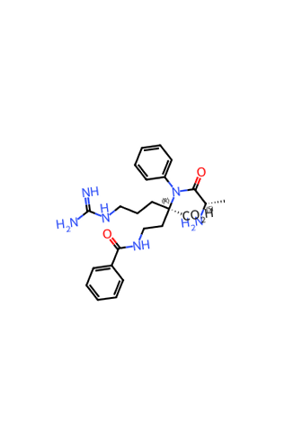 C[C@H](N)C(=O)N(c1ccccc1)[C@](CCCNC(=N)N)(CCNC(=O)c1ccccc1)C(=O)O